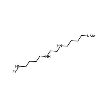 CCNCCCCNCCNCCCCNC